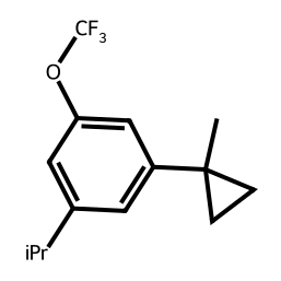 CC(C)c1cc(OC(F)(F)F)cc(C2(C)CC2)c1